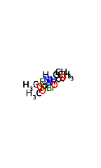 Br.CCOc1cc2c(c(F)c1OCC)C(=N)N(CC(=O)c1cc3c(c(C(C)(C)C)c1)OCC3)C2